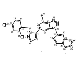 Fc1cc(-c2ccnn2Cc2ccc(Cl)cc2Cl)cc2c1nnn2-c1ccc2cn[nH]c2c1